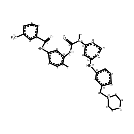 Cc1ccc(NC(=O)c2cccc(C(F)(F)F)c2)cc1NC(=O)N(C)c1cc(Nc2cccc(CN3CCOCC3)c2)ncn1